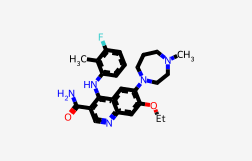 CCOc1cc2ncc(C(N)=O)c(Nc3cccc(F)c3C)c2cc1N1CCCN(C)CC1